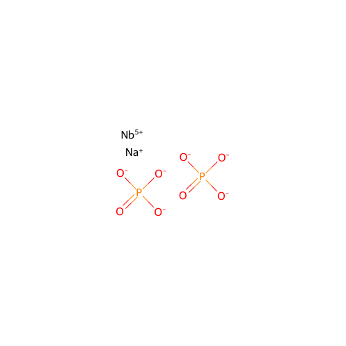 O=P([O-])([O-])[O-].O=P([O-])([O-])[O-].[Na+].[Nb+5]